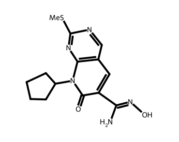 CSc1ncc2cc(C(N)=NO)c(=O)n(C3CCCC3)c2n1